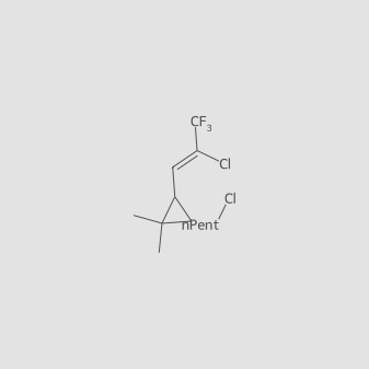 CC1(C)CC1C=C(Cl)C(F)(F)F.CCCCCCl